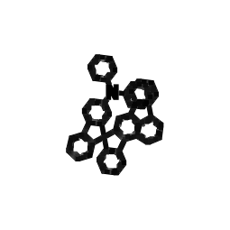 C1=CC2=C(CC1)c1cc3c(c4cccc2c14)-c1ccccc1C31c2ccccc2-c2ccc(N(c3ccccc3)c3ccccc3)cc21